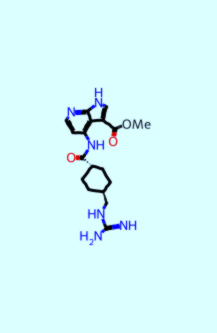 COC(=O)c1c[nH]c2nccc(NC(=O)[C@H]3CC[C@H](CNC(=N)N)CC3)c12